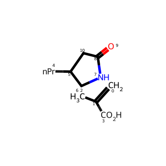 C=C(C)C(=O)O.CCCC1CNC(=O)C1